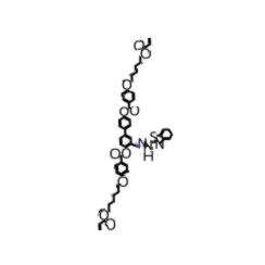 C=CC(=O)OCCCCCCOc1ccc(C(=O)Oc2ccc(-c3ccc(OC(=O)c4ccc(OCCCCCCOC(=O)C=C)cc4)c(/C=N/Nc4nc5ccccc5s4)c3)cc2)cc1